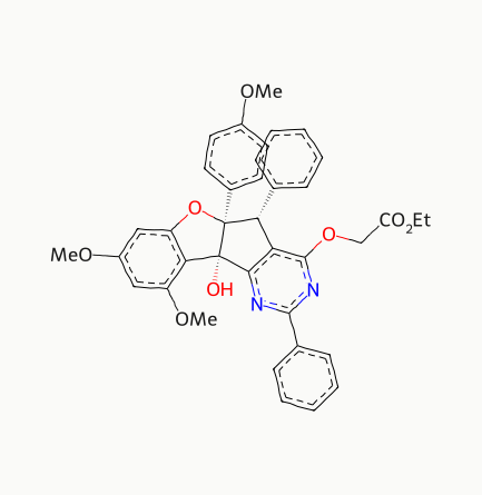 CCOC(=O)COc1nc(-c2ccccc2)nc2c1[C@@H](c1ccccc1)[C@]1(c3ccc(OC)cc3)Oc3cc(OC)cc(OC)c3[C@]21O